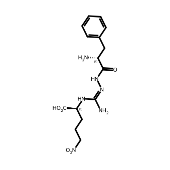 NC(=NNC(=O)[C@H](N)Cc1ccccc1)N[C@@H](CCC[N+](=O)[O-])C(=O)O